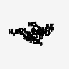 CC(C)CC(C(=O)c1nnc(SCCN(C)C)o1)N(C=O)C1(NC(=O)c2cccc(C(F)(F)F)c2)CCCCC1.Cl